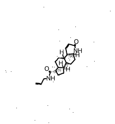 C=CCNC(=O)[C@H]1CC[C@H]2[C@@H]3CC[C@H]4NC(=O)C=C[C@]4(C)[C@H]3CC[C@]12C